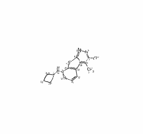 Cc1c(Cl)nnc2sc3c(NC4CCC4)nccc3c12